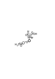 COC(=O)N1CCC(COc2cccc(-c3sc(C(=O)O)c(OCC(=O)O)c3Br)c2)CC1